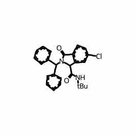 CC(C)(C)NC(=O)C1c2cc(Cl)ccc2C(=O)N1C(c1ccccc1)c1ccccc1